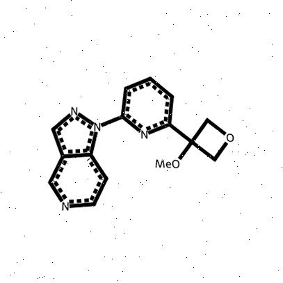 COC1(c2cccc(-n3ncc4cnccc43)n2)COC1